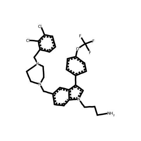 NCCCn1cc(-c2ccc(OC(F)(F)F)cc2)c2cc(CN3CCN(Cc4cccc(Cl)c4Cl)CC3)ccc21